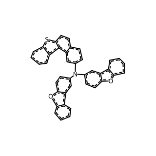 c1ccc2c(c1)oc1ccc(N(c3ccc4oc5ccccc5c4c3)c3ccc4ccc5sc6ccccc6c5c4c3)cc12